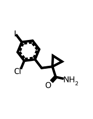 NC(=O)C1(Cc2ccc(I)cc2Cl)CC1